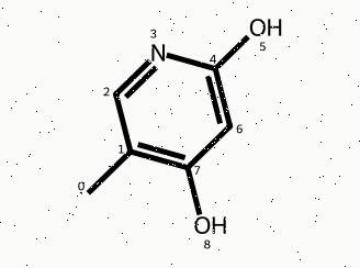 [CH2]c1cnc(O)cc1O